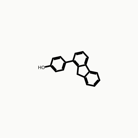 Oc1ccc(-c2cccc3c2Cc2ccccc2-3)cc1